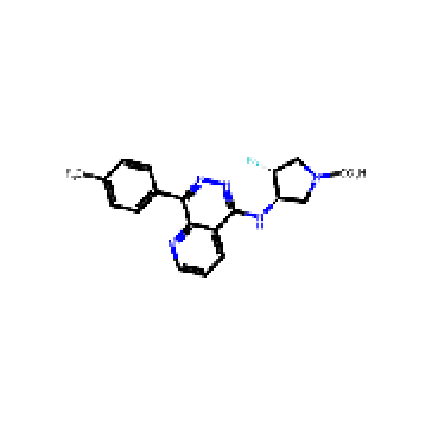 O=C(O)N1C[C@@H](F)[C@H](Nc2nnc(-c3ccc(C(F)(F)F)cc3)c3ncccc23)C1